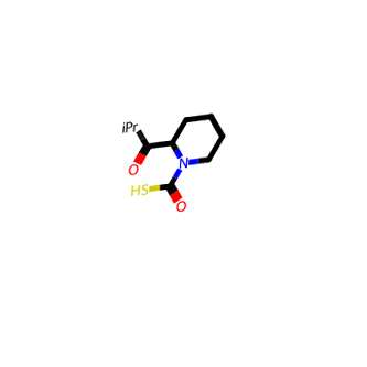 CC(C)C(=O)C1CCCCN1C(=O)S